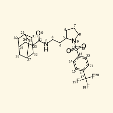 O=C(NCCC1CCCN1S(=O)(=O)c1ccc(C(F)(F)F)cc1)C12CC3CC(CC(C3)C1)C2